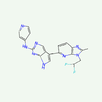 Cc1nc2ccc(-c3c[nH]c4nc(Nc5ccncc5)ncc34)nc2n1CC(F)F